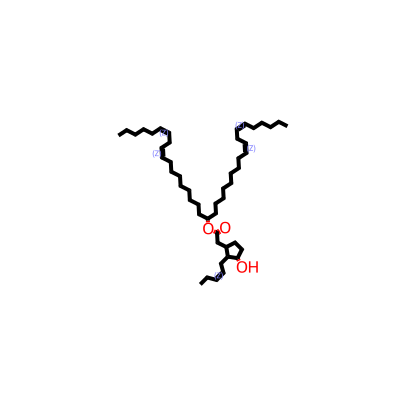 CC/C=C\CC1C(O)CCC1CC(=O)OC(CCCCCCCC/C=C\C/C=C\CCCCC)CCCCCCCC/C=C\C/C=C\CCCCC